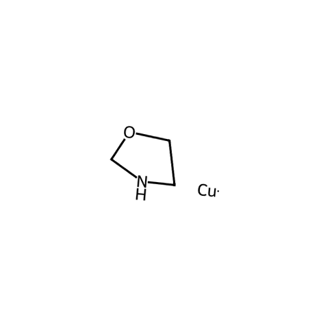 C1COCN1.[Cu]